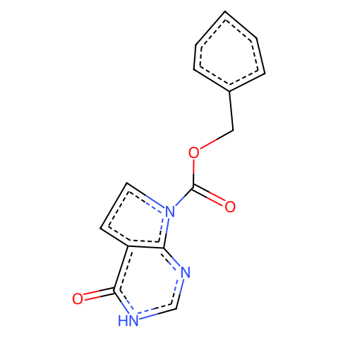 O=C(OCc1ccccc1)n1ccc2c(=O)[nH]cnc21